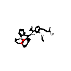 CCOc1cc(C(C=O)NC(c2ccccc2)c2ccccc2N2CCCCC2)ccc1/C=C/C(=O)O